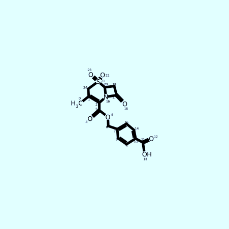 CC1=C(C(=O)OCc2ccc(C(=O)O)cc2)N2C(=O)CC2S(=O)(=O)C1